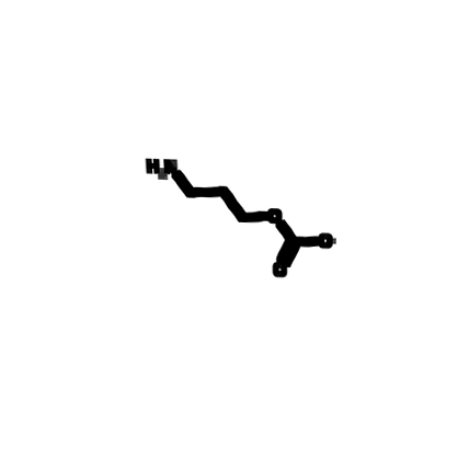 NCCCOC([O])=O